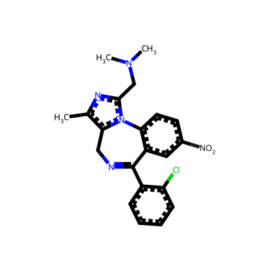 Cc1nc(CN(C)C)n2c1CN=C(c1ccccc1Cl)c1cc([N+](=O)[O-])ccc1-2